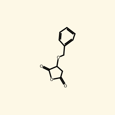 O=C1CC(OCc2ccccc2)C(=O)O1